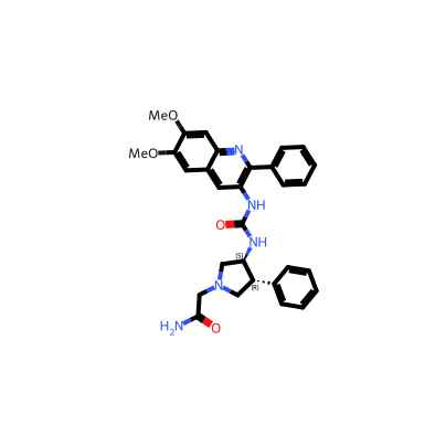 COc1cc2cc(NC(=O)N[C@@H]3CN(CC(N)=O)C[C@H]3c3ccccc3)c(-c3ccccc3)nc2cc1OC